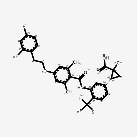 Cc1cc(OCCc2ccc(F)cc2F)cc(C)c1C(=O)Nc1cc([C@H]2CC2(C)C(=O)O)ccc1C(F)(F)F